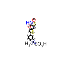 CN(Cc1cccc(-c2ccc(/C=C3/SC(=O)NC3=O)s2)c1)C(=O)O